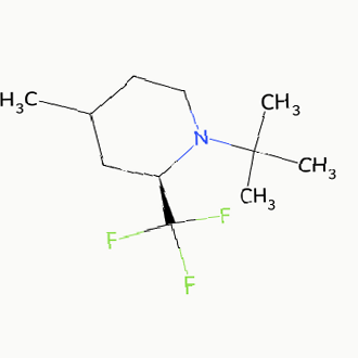 CC1CCN(C(C)(C)C)[C@@H](C(F)(F)F)C1